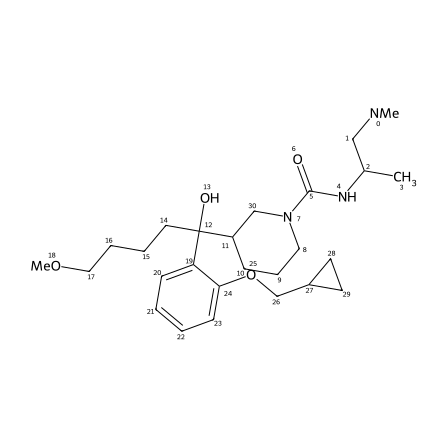 CNCC(C)NC(=O)N1CCCC(C(O)(CCCCOC)c2ccccc2OCC2CC2)C1